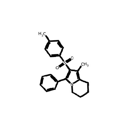 Cc1ccc(S(=O)(=O)c2c(C)c3n(c2-c2ccccc2)CCCC3)cc1